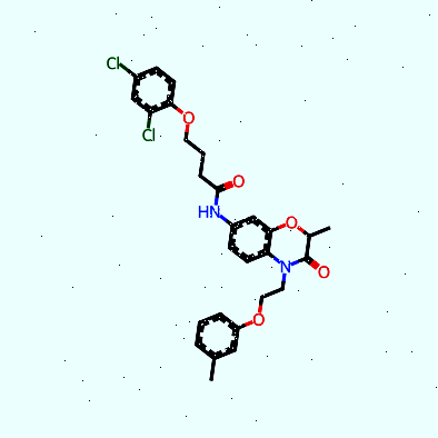 Cc1cccc(OCCN2C(=O)C(C)Oc3cc(NC(=O)CCCOc4ccc(Cl)cc4Cl)ccc32)c1